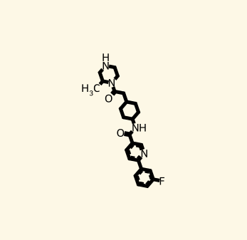 CC1CNCCN1C(=O)CC1CCC(NC(=O)c2ccc(-c3cccc(F)c3)nc2)CC1